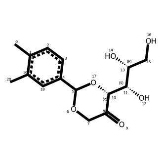 Cc1ccc(C2OCC(=O)[C@@H]([C@@H](O)[C@H](O)CO)O2)cc1C